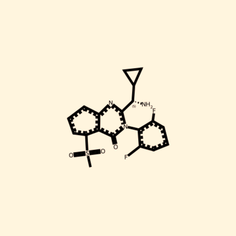 CS(=O)(=O)c1cccc2nc([C@@H](N)C3CC3)n(-c3c(F)cccc3F)c(=O)c12